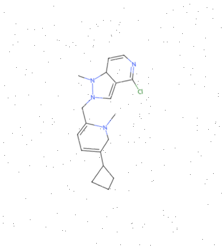 CN1CC(C2CCC2)=CC=C1CN1C=C2C(Cl)=NC=CC2N1C